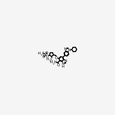 CC1C(COc2cc(-c3ccc4c(c3)ncn4C3CCCCC3)c3nc[nH]c3c2C(N)=O)CCC1OS(C)(=O)=O